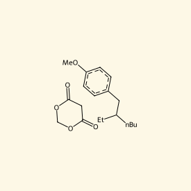 CCCCC(CC)Cc1ccc(OC)cc1.O=C1CC(=O)OCO1